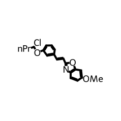 CCCC(Cl)Oc1cccc(/C=C/c2nc3ccc(OC)cc3o2)c1